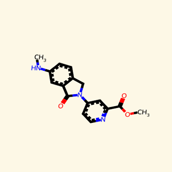 CNc1ccc2c(c1)C(=O)N(c1ccnc(C(=O)OC)c1)C2